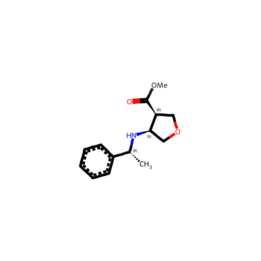 COC(=O)[C@H]1COC[C@H]1N[C@H](C)c1ccccc1